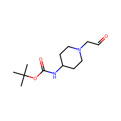 CC(C)(C)OC(=O)NC1CCN(C[C]=O)CC1